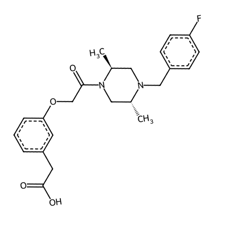 C[C@@H]1CN(C(=O)COc2cccc(CC(=O)O)c2)[C@@H](C)CN1Cc1ccc(F)cc1